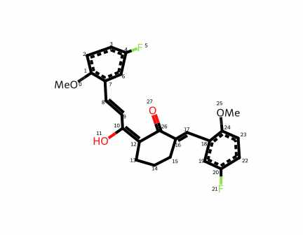 COc1ccc(F)cc1C=CC(O)=C1CCCC(=Cc2cc(F)ccc2OC)C1=O